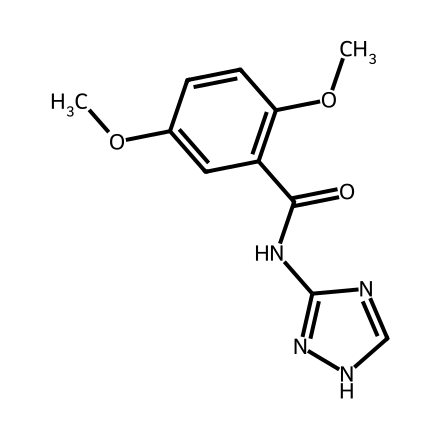 COc1ccc(OC)c(C(=O)Nc2nc[nH]n2)c1